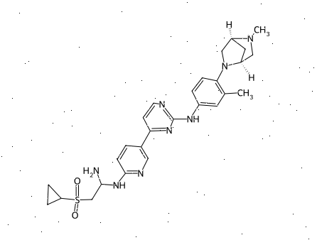 Cc1cc(Nc2nccc(-c3ccc(NC(N)CS(=O)(=O)C4CC4)nc3)n2)ccc1N1C[C@@H]2C[C@H]1CN2C